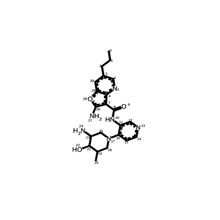 CCCc1cnc2c(C(=O)Nc3cnccc3N3CC(C)C(O)C(N)C3)c(N)oc2c1